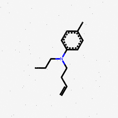 C=CCCN(CCC)c1ccc(C)cc1